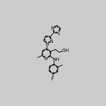 Cc1cc(-n2ccc(-c3nccs3)n2)c(CCO)c(Nc2ccc(F)cc2C)n1